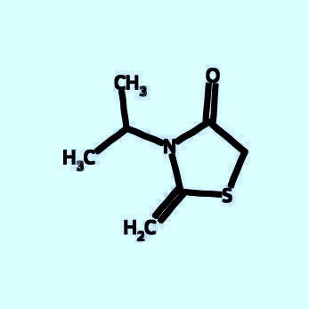 C=C1SCC(=O)N1C(C)C